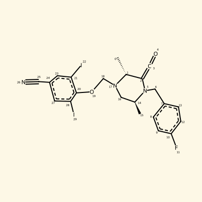 C[C@@H]1C(=C=O)N(Cc2ccc(F)cc2)[C@@H](C)CN1COc1c(I)cc(C#N)cc1I